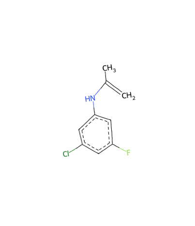 C=C(C)Nc1cc(F)cc(Cl)c1